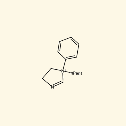 CCCCC[N+]1(c2ccccc2)C=NCC1